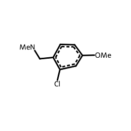 CNCc1ccc(OC)cc1Cl